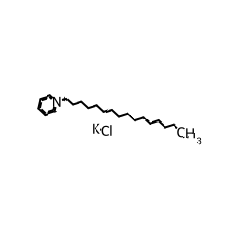 CCCCCCCCCCCCCCCC[n+]1ccccc1.[Cl][K]